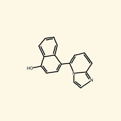 Oc1ccc(-c2cccc3nccn23)c2ccccc12